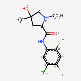 CC1(O)CC(C(=O)Nc2cc(Cl)c(F)cc2F)N(C(=O)O)C1